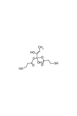 CC=C(O)C(O)(OC(=O)CCS)OC(=O)CCS